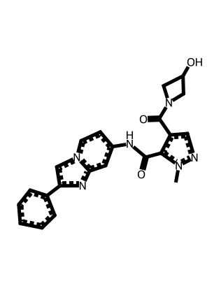 Cn1ncc(C(=O)N2CC(O)C2)c1C(=O)Nc1ccn2cc(-c3ccccc3)nc2c1